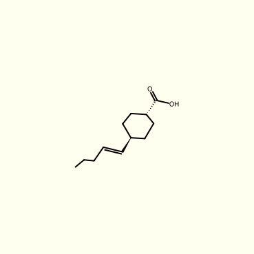 CCCC=C[C@H]1CC[C@H](C(=O)O)CC1